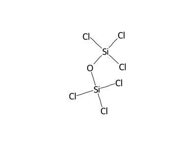 Cl[Si](Cl)(Cl)O[Si](Cl)(Cl)Cl